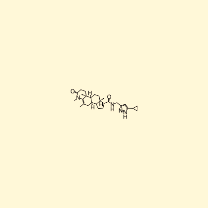 CC1=C2N(C)C(=O)CC[C@]2(C)[C@@H]2CC[C@]3(C)C(C(=O)NCc4cc(C5CC5)[nH]n4)CC[C@H]3[C@@H]2C1